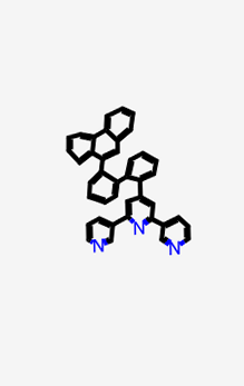 c1cncc(-c2cc(-c3ccccc3-c3ccccc3-c3cc4ccccc4c4ccccc34)cc(-c3cccnc3)n2)c1